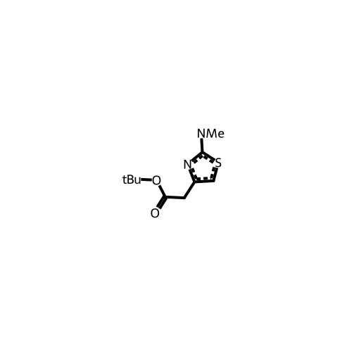 CNc1nc(CC(=O)OC(C)(C)C)cs1